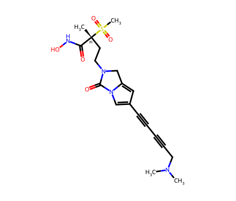 CN(C)CC#CC#Cc1cc2n(c1)C(=O)N(CC[C@](C)(C(=O)NO)S(C)(=O)=O)C2